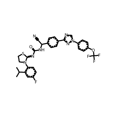 CC(C)c1cc(F)ccc1N1CCS/C1=N\C(=O)NC(C#N)c1ccc(-c2ncn(-c3ccc(OC(F)(F)F)cc3)n2)cc1